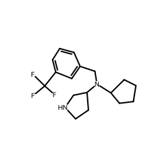 FC(F)(F)c1cccc(CN(C2CCCC2)C2CCNC2)c1